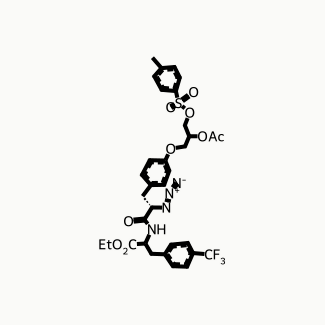 CCOC(=O)C(Cc1ccc(C(F)(F)F)cc1)NC(=O)[C@H](Cc1ccc(OCC(COS(=O)(=O)c2ccc(C)cc2)OC(C)=O)cc1)N=[N+]=[N-]